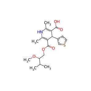 COC(COC(=O)C1=C(C)NC(C)=C(C(=O)O)C1c1ccsc1)C(C)C